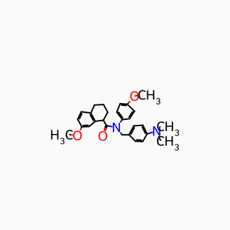 COc1ccc(N(Cc2ccc(N(C)C)cc2)C(=O)C2CCCc3ccc(OC)cc32)cc1